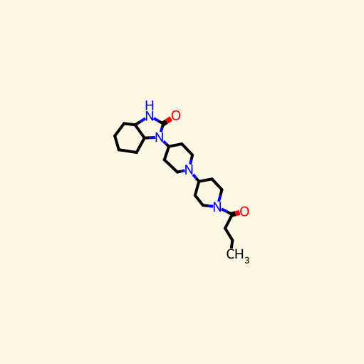 CCCC(=O)N1CCC(N2CCC(N3C(=O)NC4CCCCC43)CC2)CC1